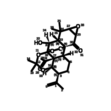 C=C(C)[C@@H]1CC[C@H]2[C@@]34COC5(OC(C)(C)O[C@H]1[C@@]25C(C)=O)[C@@H](O)[C@@H]3C(C)(C)C1OC1C4=O